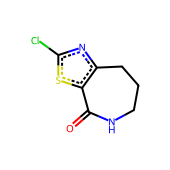 O=C1NCCCc2nc(Cl)sc21